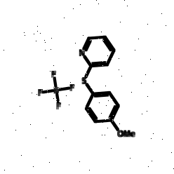 COc1ccc(Sc2ccccn2)cc1.F[B-](F)(F)F